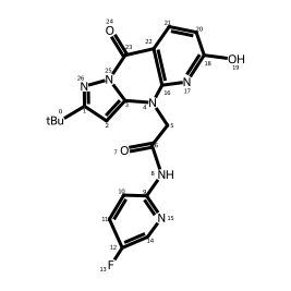 CC(C)(C)c1cc2n(CC(=O)Nc3ccc(F)cn3)c3nc(O)ccc3c(=O)n2n1